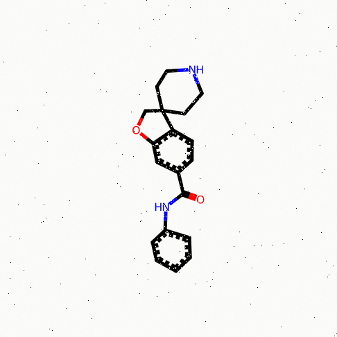 O=C(Nc1ccccc1)c1ccc2c(c1)OCC21CCNCC1